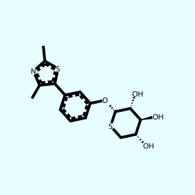 Cc1nc(C)c(-c2cccc(O[C@H]3SC[C@@H](O)[C@H](O)[C@H]3O)c2)s1